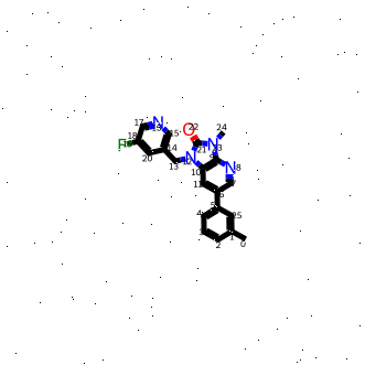 Cc1cccc(-c2cnc3c(c2)n(Cc2cncc(F)c2)c(=O)n3C)c1